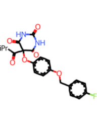 CC(C)C(=O)C1(Oc2ccc(OCc3ccc(F)cc3)cc2)C(=O)NC(=O)NC1=O